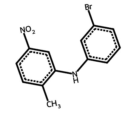 Cc1ccc([N+](=O)[O-])cc1Nc1cccc(Br)c1